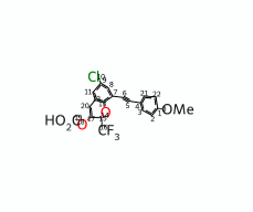 COc1ccc(C#Cc2cc(Cl)cc3c2OC(C(F)(F)F)C(OC(=O)O)=C3)cc1